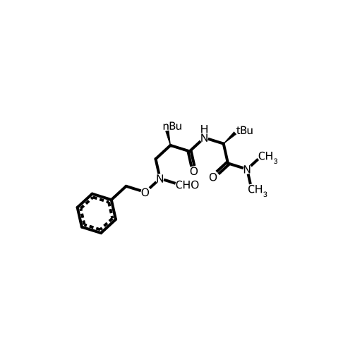 CCCC[C@H](CN(C=O)OCc1ccccc1)C(=O)N[C@H](C(=O)N(C)C)C(C)(C)C